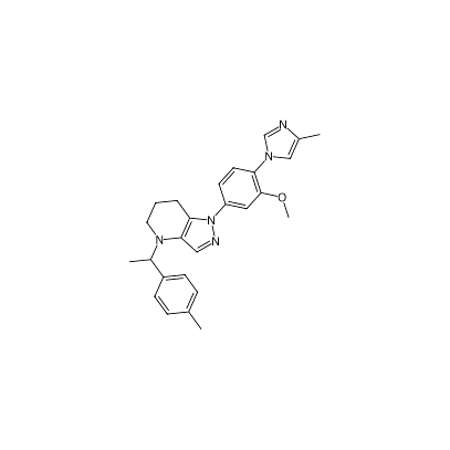 COc1cc(-n2ncc3c2CCCN3C(C)c2ccc(C)cc2)ccc1-n1cnc(C)c1